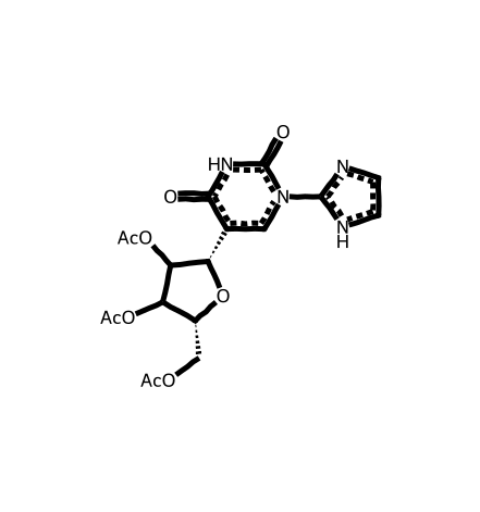 CC(=O)OC[C@H]1O[C@@H](c2cn(-c3ncc[nH]3)c(=O)[nH]c2=O)C(OC(C)=O)C1OC(C)=O